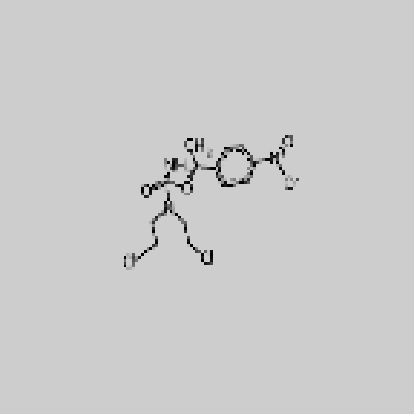 CC(OP(N)(=O)N(CCCl)CCCl)c1ccc([N+](=O)[O-])cc1